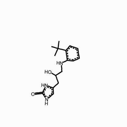 CC(C)(C)c1ccccc1NCC(O)Cc1c[nH]c(=O)[nH]1